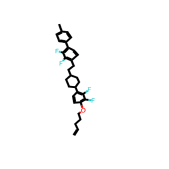 C=CCCCOc1ccc(C2CCC(CCc3ccc(-c4ccc(C)cc4)c(F)c3F)CC2)c(F)c1F